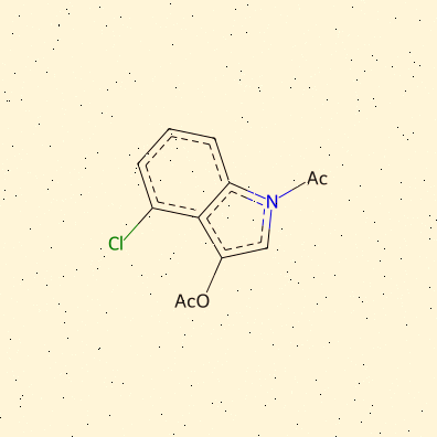 CC(=O)Oc1cn(C(C)=O)c2cccc(Cl)c12